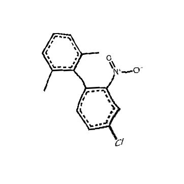 Cc1cccc(C)c1-c1ccc(Cl)cc1[N+](=O)[O-]